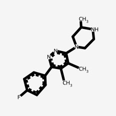 Cc1c(-c2ccc(F)cc2)nnc(N2CCNC(C)C2)c1C